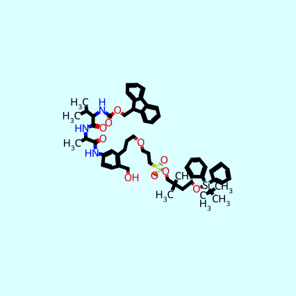 CC(NC(=O)C(NC(=O)OCC1c2ccccc2-c2ccccc21)C(C)C)C(=O)Nc1ccc(CO)c(CCCOCCCS(=O)(=O)OCC(C)(C)CCO[Si](c2ccccc2)(c2ccccc2)C(C)(C)C)c1